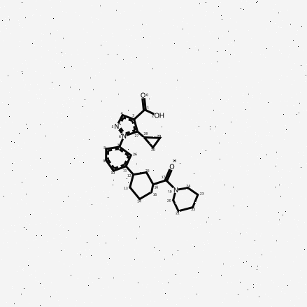 O=C(O)c1cnn(-c2cccc(C3CCCC(C(=O)N4CCCCC4)C3)c2)c1C1CC1